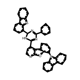 c1ccc(C2=NC(c3cccc4c3sc3ccccc34)NC(c3ccnc4oc5c(-n6c7ccccc7c7ccccc76)cccc5c34)=N2)cc1